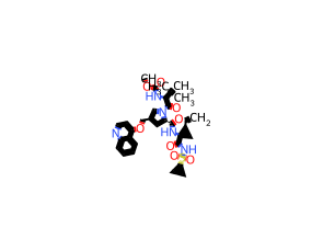 C=C[C@H]1C[C@]1(NC(=O)[C@@H]1C[C@@H](COc2ccnc3ccccc23)CN1C(=O)[C@@H](NC(=O)OC)C(C)(C)C)C(=O)NS(=O)(=O)C1CC1